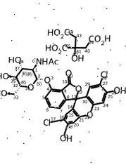 CC(=O)N[C@H]1[C@H](Oc2cccc3c2C(=O)OC32c3cc(Cl)c(O)cc3Oc3cc(O)c(Cl)cc32)O[C@H](CO)[C@@H](O)[C@@H]1O.O=C(O)CC(O)(CC(=O)O)C(=O)O